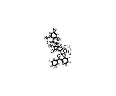 CC1(C)S[C@H]2N(C(=O)C2(Br)/N=C(\Cl)c2c(Br)cc(Br)cc2Br)[C@H]1C(=O)OC(c1ccccc1)c1ccccc1